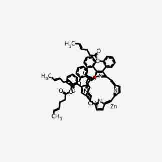 CC=CCCC(=O)Oc1ccccc1C1=CC2=CC3=NC(=CC4=NC(=CC5=NC(=C(c6ccccc6OC(=O)CCC=CC)C1=N2)C(c1ccccc1OC(=O)CCC=CC)=C5c1ccccc1OC(=O)CCC=CC)C=C4)C=C3.[Zn]